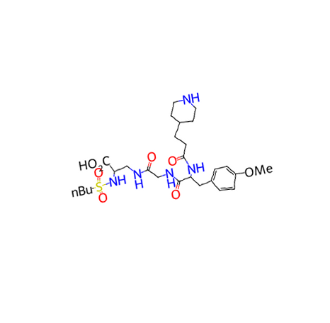 CCCCS(=O)(=O)NC(CNC(=O)CNC(=O)C(Cc1ccc(OC)cc1)NC(=O)CCC1CCNCC1)C(=O)O